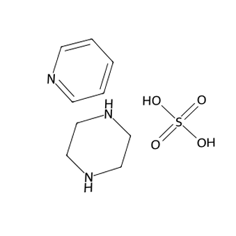 C1CNCCN1.O=S(=O)(O)O.c1ccncc1